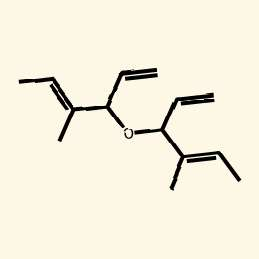 C=CC(OC(C=C)C(C)=CC)C(C)=CC